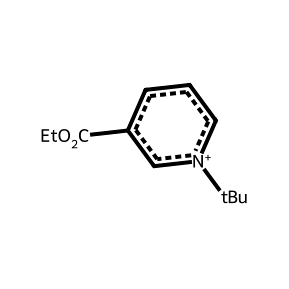 CCOC(=O)c1ccc[n+](C(C)(C)C)c1